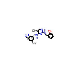 CCCC1C[C@@H](CN)C[C@H](CNc2nc(NCc3ccccc3O)ncc2N=O)C1